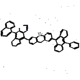 C/C=C\c1c(C)c(-c2cccc3ccccc23)c2c(c1-c1ccc3c(c1)[SiH2]c1ccc(-c4c5ccccc5c(-c5ccccc5)c5ccccc45)cc1C3)C=CCC2